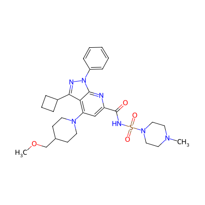 COCC1CCN(c2cc(C(=O)NS(=O)(=O)N3CCN(C)CC3)nc3c2c(C2CCC2)nn3-c2ccccc2)CC1